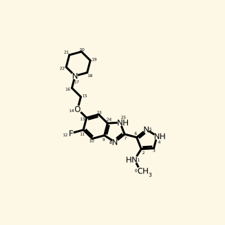 CNc1c[nH]nc1-c1nc2cc(F)c(OCCN3CCCCC3)cc2[nH]1